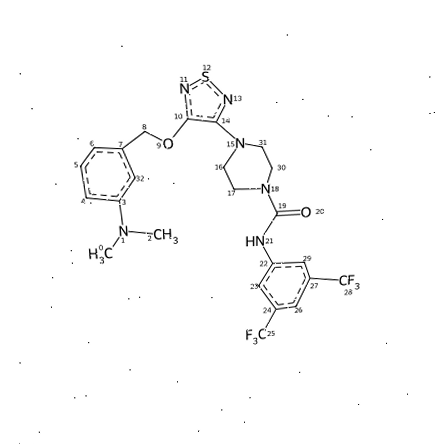 CN(C)c1cccc(COc2nsnc2N2CCN(C(=O)Nc3cc(C(F)(F)F)cc(C(F)(F)F)c3)CC2)c1